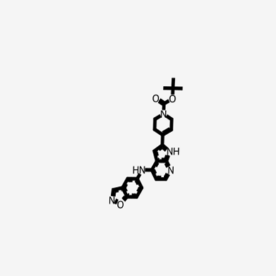 CC(C)(C)OC(=O)N1CC=C(c2cc3c(Nc4ccc5oncc5c4)ccnc3[nH]2)CC1